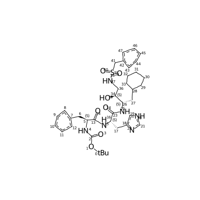 CC(C)(C)OC(=O)N[C@@H](Cc1ccccc1)C(=O)N[C@@H](Cc1c[nH]cn1)C(=O)N[C@@H](CC1CCCCC1)[C@@H](O)CNS(=O)(=O)Cc1ccccc1